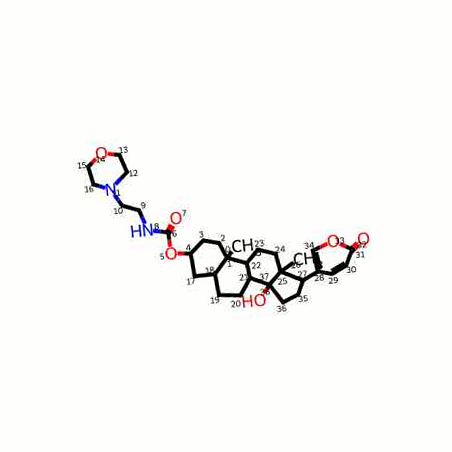 CC12CCC(OC(=O)NCCN3CCOCC3)CC1CCC1C2CCC2(C)C(c3ccc(=O)oc3)CCC12O